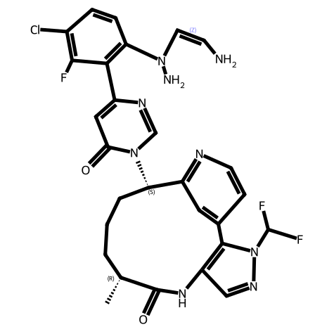 C[C@@H]1CCC[C@H](n2cnc(-c3c(N(N)/C=C\N)ccc(Cl)c3F)cc2=O)c2cc(ccn2)-c2c(cnn2C(F)F)NC1=O